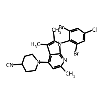 [C-]#[N+]C1CCN(c2cc(C)nc3c2c(C)c(C)n3-c2c(Br)cc(Cl)cc2Br)CC1